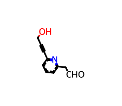 O=CCc1cccc(C#CCO)n1